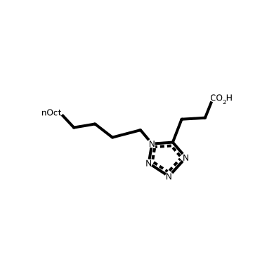 CCCCCCCCCCCCn1nnnc1CCC(=O)O